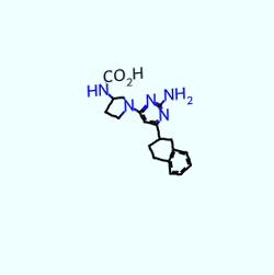 Nc1nc(C2CCc3ccccc3C2)cc(N2CCC(NC(=O)O)C2)n1